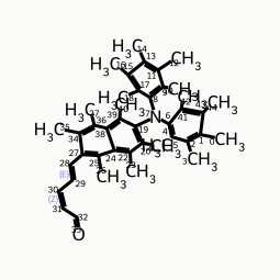 Cc1c(C)c(C)c(N(c2c(C)c(C)c(C)c(C)c2C)c2c(C)c(C)c3c(C)c(/C=C/C=C\C=O)c(C)c(C)c3c2C)c(C)c1C